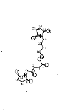 O=C(CCC(=O)ON1C(=O)CCC1=O)OOCCCCN1C(=O)C=CC1=O